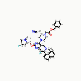 Cc1cccc2cccc(-c3ncc4c(N5CCN(CC(=O)OCc6ccccc6)[C@@H](CC#N)C5)nc(OC[C@@H]5C[C@@H](F)CN5C)nc4c3F)c12